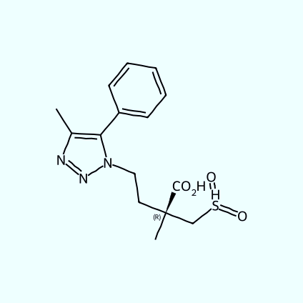 Cc1nnn(CC[C@@](C)(C[SH](=O)=O)C(=O)O)c1-c1ccccc1